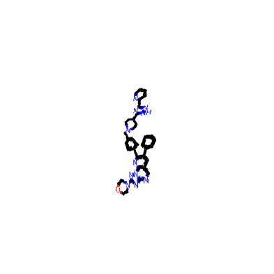 c1ccc(-c2cc3cnc4nc(N5CCOCC5)nn4c3nc2-c2ccc(CN3CCC(c4nc(-c5ccccn5)n[nH]4)CC3)cc2)cc1